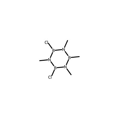 CB1N(C)B(Cl)N(C)B(Cl)N1C